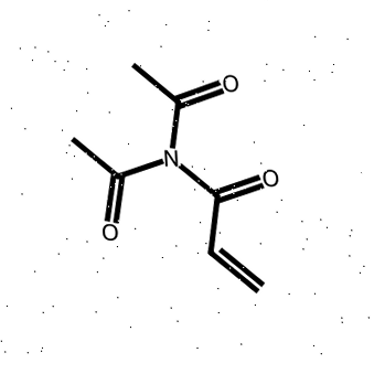 C=CC(=O)N(C(C)=O)C(C)=O